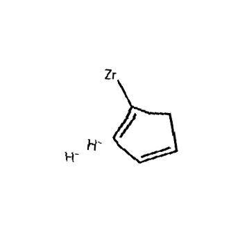 [H-].[H-].[Zr][C]1=CC=CC1